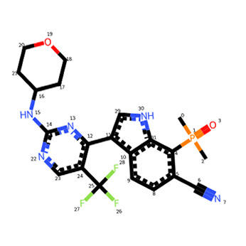 CP(C)(=O)c1c(C#N)ccc2c(-c3nc(NC4CCOCC4)ncc3C(F)(F)F)c[nH]c12